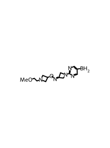 Bc1cnc(N2CC(=NOC3CN(CCOC)C3)C2)nc1